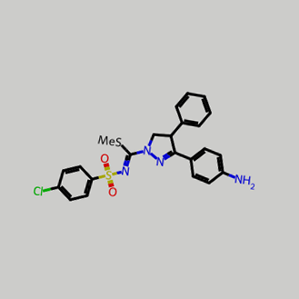 CS/C(=N\S(=O)(=O)c1ccc(Cl)cc1)N1CC(c2ccccc2)C(c2ccc(N)cc2)=N1